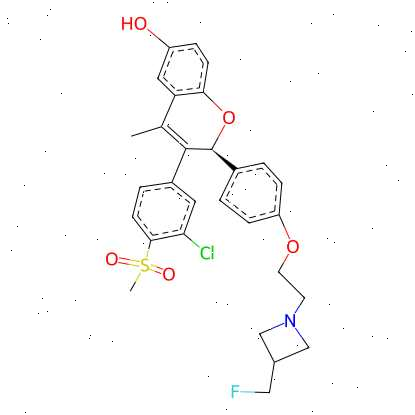 CC1=C(c2ccc(S(C)(=O)=O)c(Cl)c2)[C@H](c2ccc(OCCN3CC(CF)C3)cc2)Oc2ccc(O)cc21